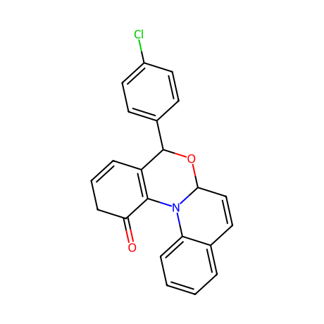 O=C1CC=CC2=C1N1c3ccccc3C=CC1OC2c1ccc(Cl)cc1